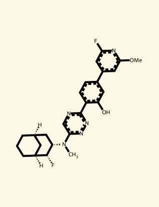 COc1cc(-c2ccc(-c3ncc(N(C)[C@H]4C[C@@H]5CCC[C@@H](C5)[C@H]4F)nn3)c(O)c2)cc(F)n1